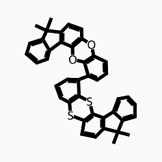 CC1(C)c2ccccc2-c2c1ccc1c2Oc2c(cccc2-c2cccc3c2Sc2c(ccc4c2-c2ccccc2C4(C)C)S3)O1